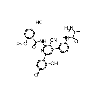 CCOc1ccccc1C(=O)Nc1nc(-c2ccc(Cl)cc2O)cc(-c2cccc(NC(=O)C(C)N)c2)c1C#N.Cl